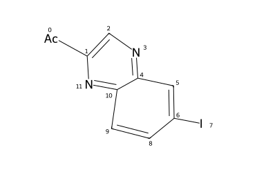 CC(=O)c1cnc2cc(I)ccc2n1